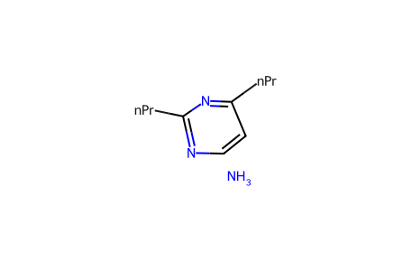 CCCc1ccnc(CCC)n1.N